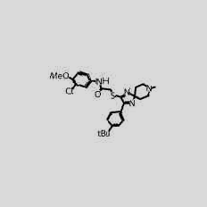 COc1ccc(NC(=O)CSC2=NC3(CCN(C)CC3)N=C2c2ccc(C(C)(C)C)cc2)cc1Cl